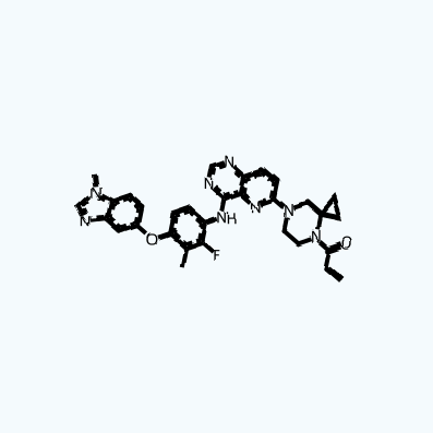 C=CC(=O)N1CCN(c2ccc3ncnc(Nc4ccc(Oc5ccc6c(c5)ncn6C)c(C)c4F)c3n2)CC12CC2